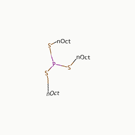 CCCCCCCCSP(SCCCCCCCC)SCCCCCCCC